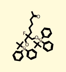 CC(=O)CCCCC(F)(CO[Si](c1ccccc1)(c1ccccc1)C(C)(C)C)CO[Si](c1ccccc1)(c1ccccc1)C(C)(C)C